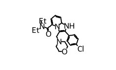 CCN(CC)C(=O)C1=CC=CC2NC(c3ccc(Cl)cc3)=C(CN3CCOCC3)N12